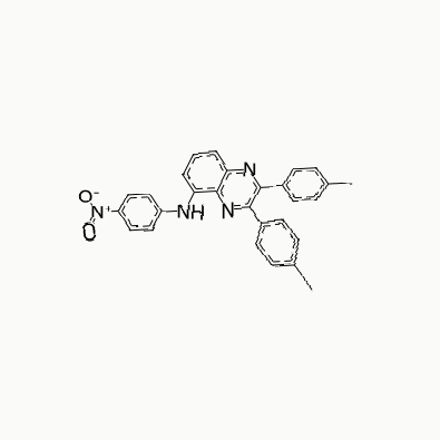 Cc1ccc(-c2nc3cccc(Nc4ccc([N+](=O)[O-])cc4)c3nc2-c2ccc(C)cc2)cc1